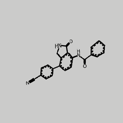 N#Cc1ccc(-c2ccc(NC(=O)c3ccccc3)c3c2CNC3=O)cc1